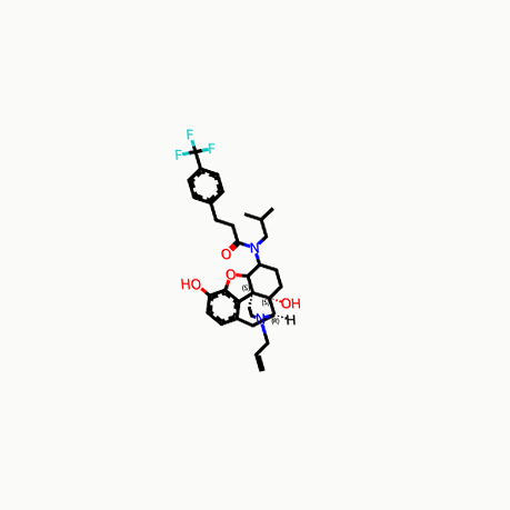 C=CCN1CC[C@]23c4c5ccc(O)c4OC2C(N(CC(C)C)C(=O)CCc2ccc(C(F)(F)F)cc2)CC[C@@]3(O)[C@H]1C5